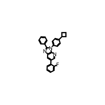 Fc1ccccc1-c1cnc2c(c1)nc(-c1ccccc1)n2-c1ccc(C2CCC2)cc1